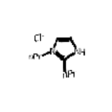 CCCc1[nH]cc[n+]1CCC.[Cl-]